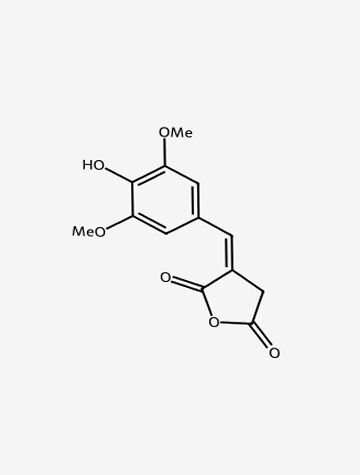 COc1cc(C=C2CC(=O)OC2=O)cc(OC)c1O